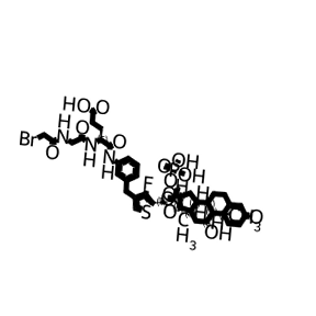 C[C@]12C=CC(=O)C=C1CC[C@@H]1[C@@H]2[C@@H](O)C[C@@]2(C)[C@H]1C[C@H]1O[C@@H](c3scc(Cc4cccc(NC(=O)[C@H](CCC(=O)O)NC(=O)CNC(=O)CBr)c4)c3F)O[C@]12C(=O)COP(=O)(O)O